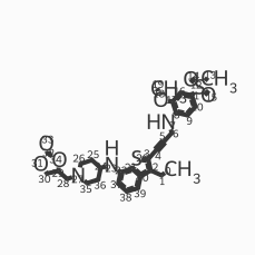 CCc1c(C#CCNc2ccc(S(C)(=O)=O)cc2OC)sc2c(NC3CCN(CC4COC(=O)O4)CC3)cccc12